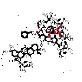 CC[Si](CC)(CC)OCC1O[C@@H](OC2C(O[C@@H]3OC[C@@H](O[Si](CC)(CC)CC)C(O[Si](CC)(CC)CC)C3O[Si](CC)(CC)CC)[C@H](O[Si](CC)(CC)CC)C(C(=O)OCc3ccccc3)O[C@H]2O[C@H]2CCC3(C)C(CCC4(C)C3CC=C3C5CC(C)(C)CC[C@]5(C(=O)O)C(O[Si](CC)(CC)CC)CC34C)C2(C)C=O)C(O[Si](CC)(CC)CC)C(O[Si](CC)(CC)CC)[C@H]1O[Si](CC)(CC)CC